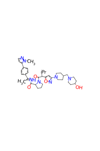 CC(C)C(C(=O)N1CCCC1C(=O)N[C@@H](C)c1ccc(-c2ccnn2C)cc1)c1cc(N2CCC(CN3CCC(O)CC3)CC2)no1